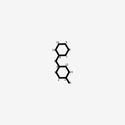 CC1CCC(CC2CCCCC2)CC1